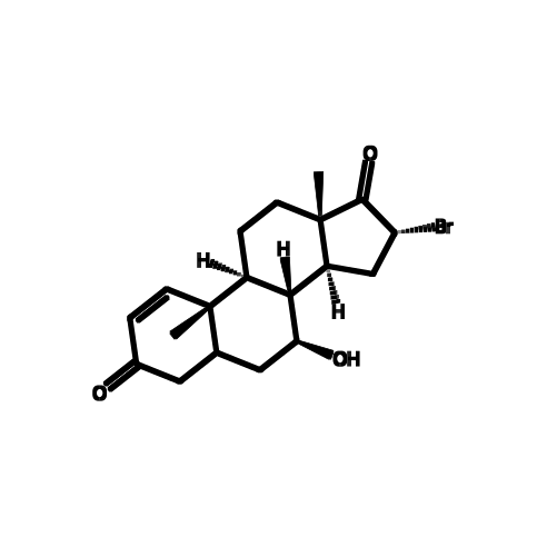 C[C@]12C=CC(=O)CC1C[C@H](O)[C@@H]1[C@@H]2CC[C@]2(C)C(=O)[C@H](Br)C[C@@H]12